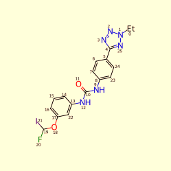 CCn1nnc(-c2ccc(NC(=O)Nc3cccc(OC(F)I)c3)cc2)n1